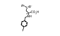 CC(C)[S+]([O-])C[C@H](NCc1ccc(F)cc1)C(=O)O